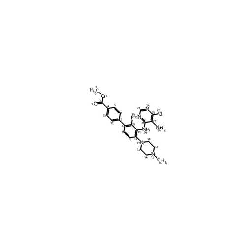 COC(=O)c1ccc(-c2ccc(N3CCN(C)CC3)c(Nc3ncnc(Cl)c3N)c2F)cc1